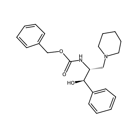 O=C(N[C@H](CN1CCCCC1)[C@H](O)c1ccccc1)OCc1ccccc1